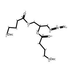 CCCCCCCCCCCCCC(=O)OCC(CN=[N+]=[N-])OC(=O)CCCCCCCCCCCCC